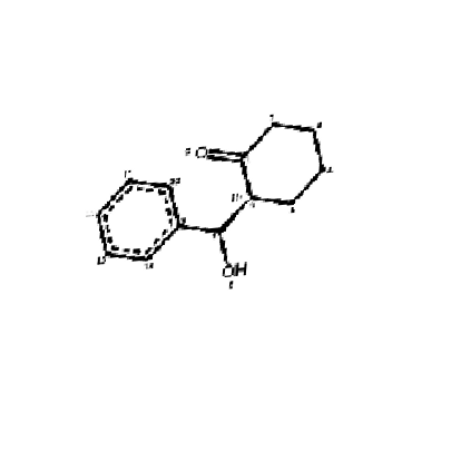 O=C1CCCC[C@H]1C(O)c1ccccc1